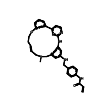 C=CC(=O)Nc1ccc(CNc2cc3cc(c2)Nc2nccc(n2)-c2cccc(c2)OCC/C=C/CN(C)C3)cc1